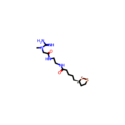 CN(CC(=O)NCCNC(=O)CCCC[C@@H]1CCSS1)C(=N)N